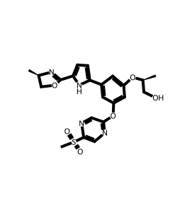 C[C@@H]1COC(c2ccc(-c3cc(Oc4cnc(S(C)(=O)=O)cn4)cc(O[C@@H](C)CO)c3)[nH]2)=N1